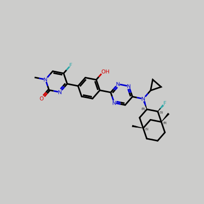 Cn1cc(F)c(-c2ccc(-c3ncc(N(C4CC4)[C@@H]4C[C@@]5(C)CCC[C@](C)(C5)[C@@H]4F)nn3)c(O)c2)nc1=O